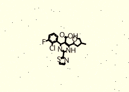 CC1COC(C2=C(C(=O)O)C(c3cccc(F)c3Cl)N=C(c3nccs3)N2)C1